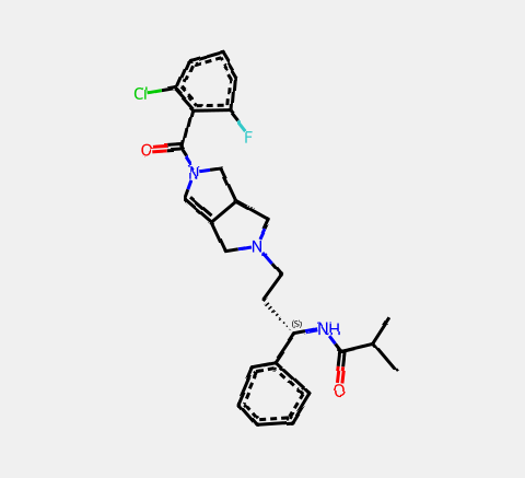 CC(C)C(=O)N[C@@H](CCN1CC2=CN(C(=O)c3c(F)cccc3Cl)CC2C1)c1ccccc1